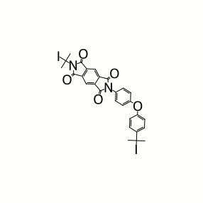 CC(C)(I)c1ccc(Oc2ccc(-n3c(=O)c4cc5c(=O)n(C(C)(C)I)c(=O)c5cc4c3=O)cc2)cc1